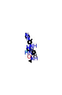 Cc1cc(Nc2ncc(F)c(N[C@]34[C@@H]5C=C[C@@H]3[C@]54C(=O)NC3CC3)n2)ccc1N1CCN(C)CC1